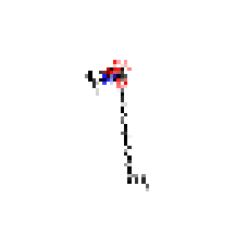 CCCCCCCCC=CCCCCCCCCO[C@](O)(CC(=O)[O-])C[N+](C)(C)C